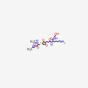 CCCNC(=O)C(CSC1CC(=O)C(CCC(=O)NC(CCCCN)C(=O)NCCO)C1=O)NC(C)=O